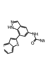 CNC(=O)Nc1cc(-c2cc3ccccc3s2)c2[nH]ncc2c1